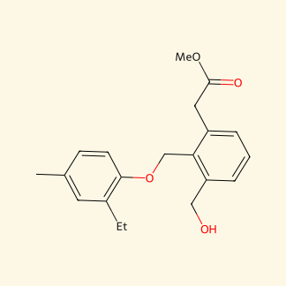 CCc1cc(C)ccc1OCc1c(CO)cccc1CC(=O)OC